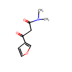 CN(C)C(=O)CC(=O)c1ccoc1